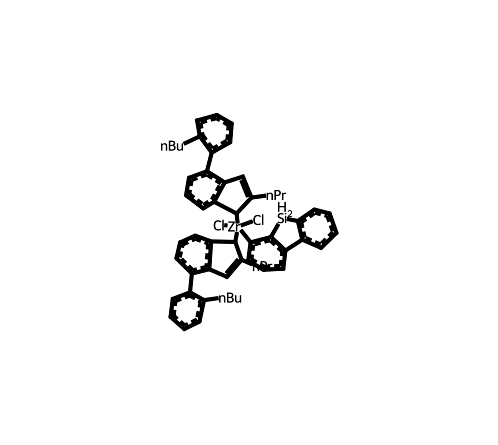 CCCCc1ccccc1-c1cccc2c1C=C(CCC)[CH]2[Zr]([Cl])([Cl])([c]1cccc2c1[SiH2]c1ccccc1-2)[CH]1C(CCC)=Cc2c(-c3ccccc3CCCC)cccc21